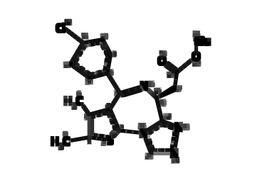 Cc1sc2c(c1C)C(c1ccc(Cl)cc1)=N[C@@H](CC(=O)OC(C)(C)C)c1nncn1-2